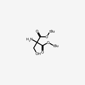 CC(C)(C)OC(=O)C(N)(CO)C(=O)OC(C)(C)C